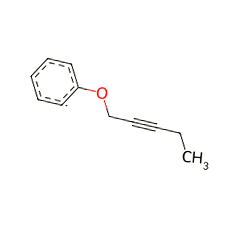 CCC#CCOc1[c]cccc1